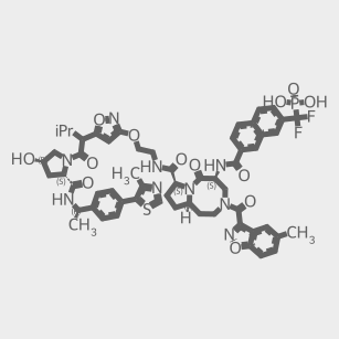 Cc1ccc2onc(C(=O)N3CC[C@H]4CC[C@@H](C(=O)NCCOc5cc(C(C(=O)N6C[C@H](O)C[C@H]6C(=O)N[C@H](C)c6ccc(-c7scnc7C)cc6)C(C)C)on5)N4C(=O)[C@@H](NC(=O)c4ccc5ccc(C(F)(F)P(=O)(O)O)cc5c4)C3)c2c1